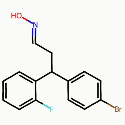 ON=[C]CC(c1ccc(Br)cc1)c1ccccc1F